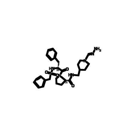 NN=CN1CCC(CNC(=O)[C@@H]2CCCN2C(=O)[C@@H](Cc2ccccc2)NS(=O)(=O)Cc2ccccc2)CC1